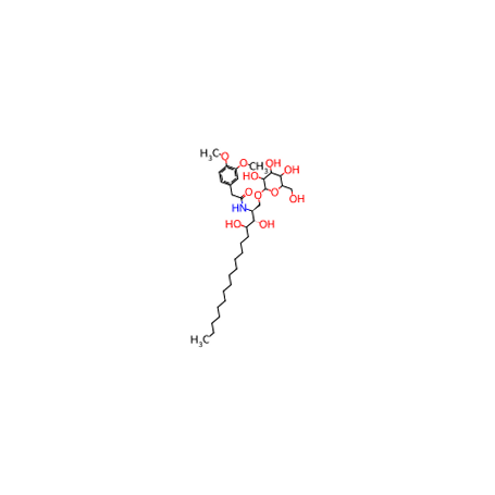 CCCCCCCCCCCCCC[C@@H](O)[C@@H](O)[C@H](COC1OC(CO)C(O)C(O)C1O)NC(=O)Cc1ccc(OC)c(OC)c1